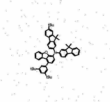 CC(C)(C)c1cc(-c2ccc(N(c3ccc4c(c3)C(C)(C)c3ccccc3-4)c3ccc4c(c3)C(C)(C)c3cc(C(C)(C)C)ccc3-4)c3oc4ccccc4c23)cc(C(C)(C)C)c1